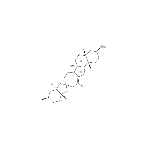 CO[C@H]1CC[C@@]2(C)[C@H](CC[C@H]3[C@@H]4CC[C@]5(CC(C)=C4C[C@@H]32)C[C@@H]2NC[C@@H](C)C[C@H]2O5)C1